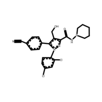 N#Cc1ccc(-c2c(CO)c(C(=O)NN3CCCCC3)nn2-c2ccc(Cl)cc2Cl)cc1